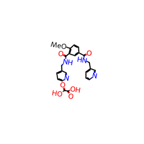 COc1ccc(C(=O)NCc2cccnc2)cc1C(=O)NCc1cccnc1.O=C(O)C(=O)O